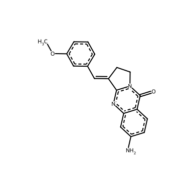 COc1cccc(C=C2CCn3c2nc2cc(N)ccc2c3=O)c1